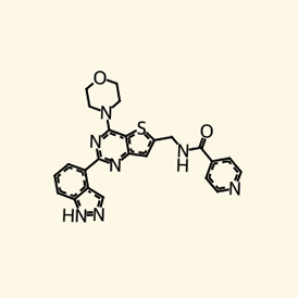 O=C(NCc1cc2nc(-c3cccc4[nH]ncc34)nc(N3CCOCC3)c2s1)c1ccncc1